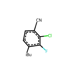 CCC(C)c1ccc(C#N)c(Cl)c1F